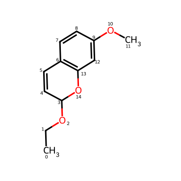 CCOC1C=Cc2ccc(OC)cc2O1